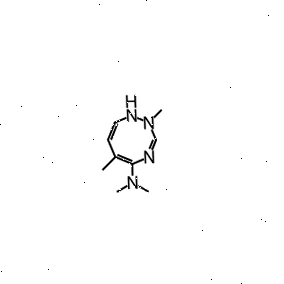 Cc1cc[nH]n(C)cnc1N(C)C